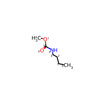 CCC[CH]NC(=O)OC